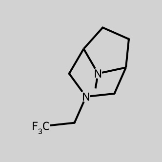 CN1C2CCC1CN(CC(F)(F)F)C2